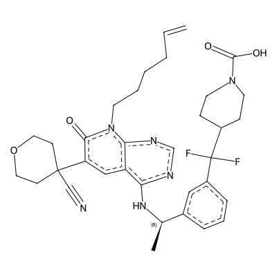 C=CCCCCn1c(=O)c(C2(C#N)CCOCC2)cc2c(N[C@H](C)c3cccc(C(F)(F)C4CCN(C(=O)O)CC4)c3)ncnc21